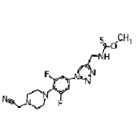 COC(=S)NCc1cn(-c2cc(F)c(N3CCN(CC#N)CC3)c(F)c2)nn1